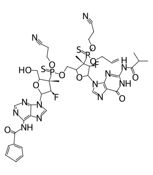 C=CCOP(=S)(OCCC#N)[C@@]1(C)C(COP(=S)(OCCC#N)[C@@]2(C)C(CO)OC(n3cnc4c(NC(=O)c5ccccc5)ncnc43)[C@@H]2F)OC(n2cnc3c(=O)[nH]c(NC(=O)C(C)C)nc32)[C@@H]1F